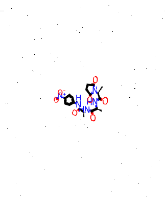 C[C@H](NC(=O)[C@H](C)NC(=O)[C@H](C)N1C(=O)CCC1=O)C(=O)Nc1ccc([N+](=O)[O-])cc1